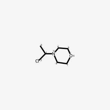 CC(Cl)N1CCOCC1